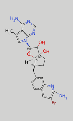 Cc1cn([C@@H]2O[C@@H]3[C@H](Cc4ccc5cc(Br)c(N)nc5c4)CC[C@]3(O)C2O)c2ncnc(N)c12